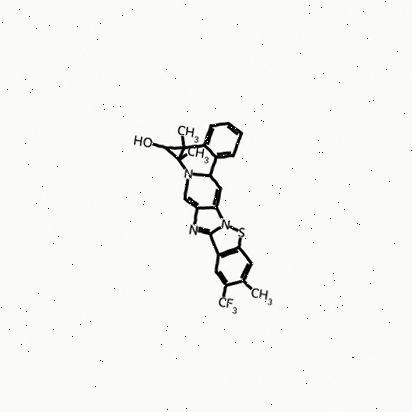 Cc1cc2sn3c4c(nc3c2cc1C(F)(F)F)=CN1C(C=4)c2ccccc2C2(C)C(O)C12C